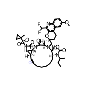 CCC(C)N(C(=O)O)[C@H]1CCCCC/C=C\[C@@H]2C[C@@]2(C(=O)NS(=O)(=O)C2(C)CC2)NC(=O)[C@@H]2C[C@]3(CCc4c(c(C(F)F)nc5ccc(OC)cc45)O3)CN2C1=O